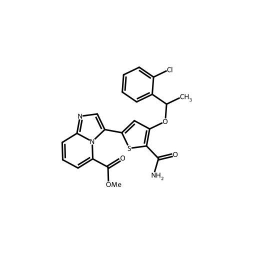 COC(=O)c1cccc2ncc(-c3cc(OC(C)c4ccccc4Cl)c(C(N)=O)s3)n12